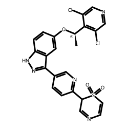 C[C@@H](Oc1ccc2[nH]nc(-c3ccc(C4C=NC=CS4(=O)=O)nc3)c2c1)c1c(Cl)cncc1Cl